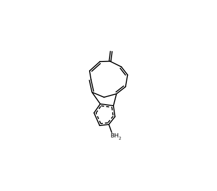 Bc1ccc2c(c1)/C1=C/C=C\C(=C)/C=C\C=C\2C1